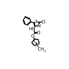 C[N+]12CCC(OC(=O)Nc3nc(Cl)sc3-c3ccccc3)(CC1)CC2